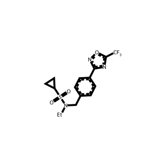 CCN(Cc1ccc(-c2noc(C(F)(F)F)n2)cc1)S(=O)(=O)C1CC1